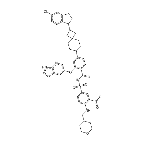 O=C(NS(=O)(=O)c1ccc(NCC2CCOCC2)c([N+](=O)[O-])c1)c1ccc(N2CCC3(CC2)CN(C2CCc4cc(Cl)ccc42)C3)cc1Oc1cnc2[nH]ccc2c1